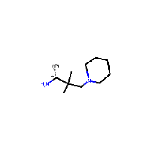 CCC[C@@H](N)C(C)(C)CN1CCCCC1